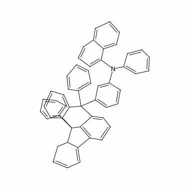 C1=CCC2C(=C1)c1cccc3c1C2(c1ccccc1)c1ccccc1C3(c1ccccc1)c1cccc(N(c2ccccc2)c2cccc3ccccc23)c1